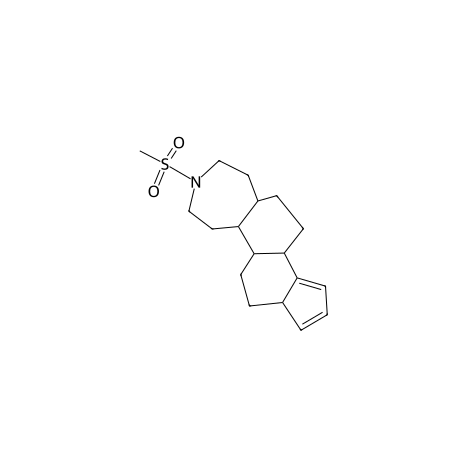 CS(=O)(=O)N1CCC2CCC3C4=CC=CC4CCC3C2CC1